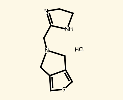 Cl.c1scc2c1CN(CC1=NCCN1)C2